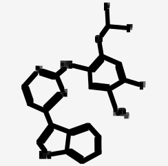 O=[N+]([O-])c1cc(Nc2nccc(-c3c[nH]c4ccccc34)n2)c(OC(F)F)cc1F